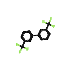 FC(F)(F)c1[c]ccc(-c2cccc(C(F)(F)F)c2)c1